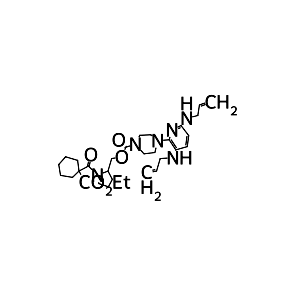 C=CCNc1ccc(NCC=C)c(N2CCN(C(=O)OCC3CCCN3C(=O)C3(C(=O)OCC)CCCCC3)CC2)n1